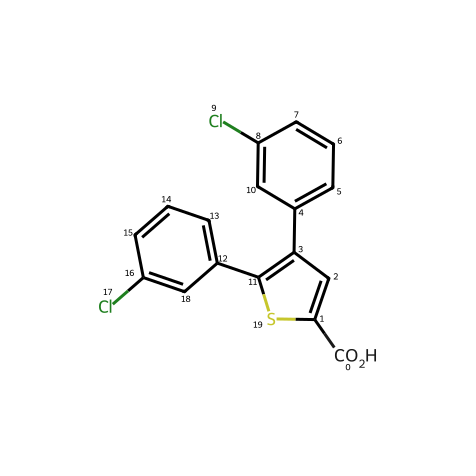 O=C(O)c1cc(-c2cccc(Cl)c2)c(-c2cccc(Cl)c2)s1